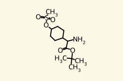 CC(C)(C)OC(=O)C(N)C1CCC(OS(C)(=O)=O)CC1